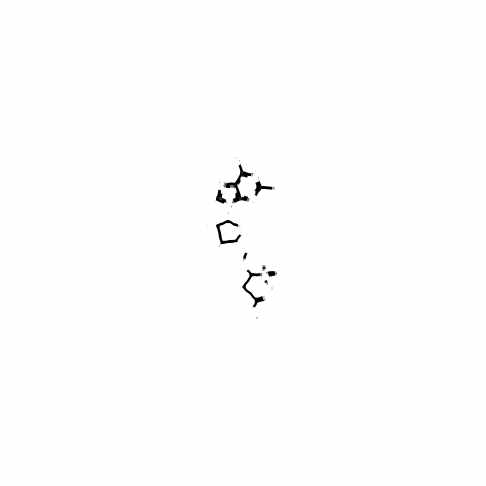 COC(=O)CC(OC[C@H]1O[C@@H](n2cnc3c(N)nc(Cl)nc32)[C@@H](F)[C@@H]1O)P(=O)(O)O